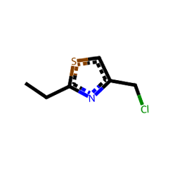 CCc1nc(CCl)cs1